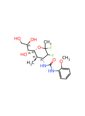 COc1ccccc1NC(=O)N[C@H]1C(F)C(C)(F)O[C@@H]([C@H](O)[C@H](O)CO)[C@@H]1C